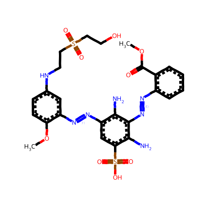 COC(=O)c1ccccc1/N=N/c1c(N)c(/N=N/c2cc(NCCS(=O)(=O)CCO)ccc2OC)cc(S(=O)(=O)O)c1N